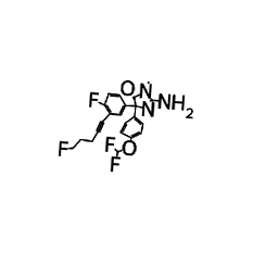 CN1C(=O)C(c2ccc(OC(F)F)cc2)(c2ccc(F)c(C#CCCCF)c2)N=C1N